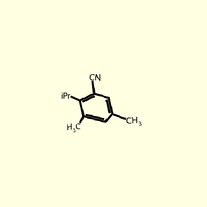 Cc1cc(C)c(C(C)C)c(C#N)c1